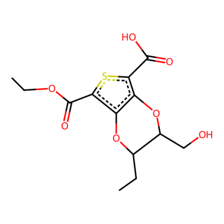 CCOC(=O)c1sc(C(=O)O)c2c1OC(CC)C(CO)O2